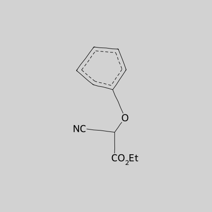 CCOC(=O)C(C#N)Oc1ccccc1